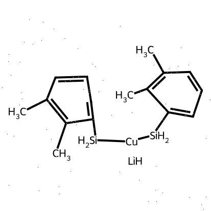 Cc1cccc([SiH2][Cu][SiH2]c2cccc(C)c2C)c1C.[LiH]